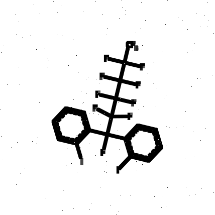 FC(F)(F)C(F)(F)C(F)(F)C(F)(F)C(F)(F)C(F)(c1ccccc1I)c1ccccc1I